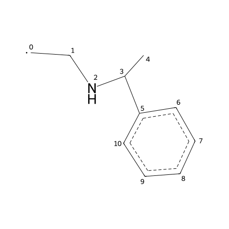 [CH2]CNC(C)c1ccccc1